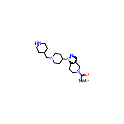 CNC(=O)N1CCc2c(cnn2C2CCN(CC3CCNCC3)CC2)C1